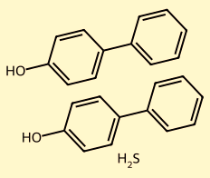 Oc1ccc(-c2ccccc2)cc1.Oc1ccc(-c2ccccc2)cc1.S